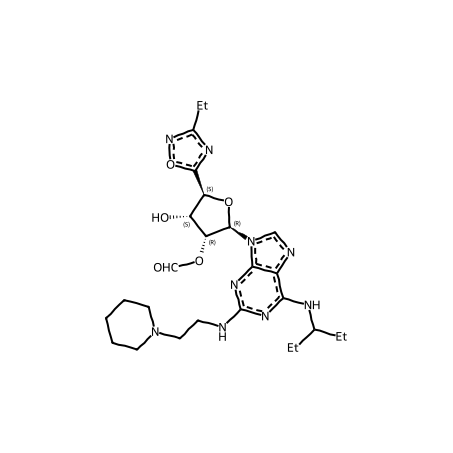 CCc1noc([C@H]2O[C@@H](n3cnc4c(NC(CC)CC)nc(NCCN5CCCCC5)nc43)[C@H](OC=O)[C@@H]2O)n1